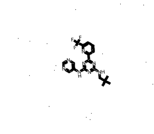 CC(C)(C)CNc1nc(Nc2cncnc2)nc(-c2cccc(C(F)(F)F)n2)n1